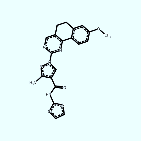 COc1ccc2c(c1)CCc1cnc(-n3cc(C(=O)Nc4nccs4)c(N)n3)nc1-2